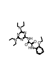 CCOc1ccccc1NC(=O)C(=O)Nc1nc(N(CC)CC)nc(N(CC)CC)n1